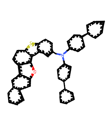 c1ccc(-c2ccc(N(c3ccc(-c4ccccc4)cc3)c3ccc4sc5ccc6c7cc8ccccc8cc7oc6c5c4c3)cc2)cc1